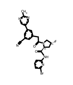 Cc1ncc(-c2cc(C#N)cc(CC(=O)N3C[C@H](F)C[C@H]3C(=O)Nc3cccc(Br)n3)c2)cn1